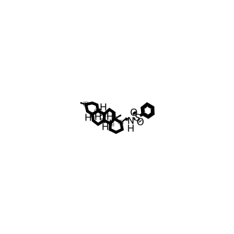 C[C@H]1CC[C@H]2[C@H](CC[C@@H]3[C@@H]2CC[C@]2(C)[C@@H](CNS(=O)(=O)c4ccccc4)CCC[C@@H]32)C1